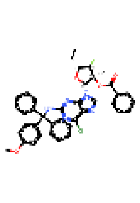 CC[C@H]1O[C@@H](n2cnc3c(Cl)nc(NC(c4ccccc4)(c4ccccc4)c4ccc(OC)cc4)nc32)[C@](C)(OC(=O)c2ccccc2)[C@@H]1F